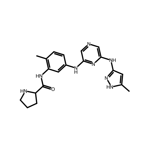 Cc1cc(Nc2cncc(Nc3ccc(C)c(NC(=O)C4CCCN4)c3)n2)n[nH]1